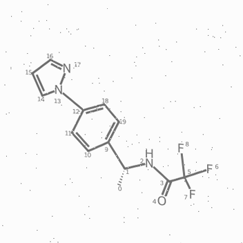 C[C@@H](NC(=O)C(F)(F)F)c1ccc(-n2cccn2)cc1